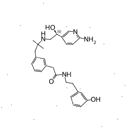 CC(C)(Cc1cccc(CC(=O)NCCc2cccc(O)c2)c1)NC[C@@H](O)c1ccc(N)nc1